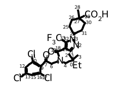 CCC(C)(C)CN(CC(=O)c1c(Cl)cc(Cl)cc1Cl)C(=O)c1cnn(C2CCC(C)(C(=O)O)CC2)c1C(F)(F)F